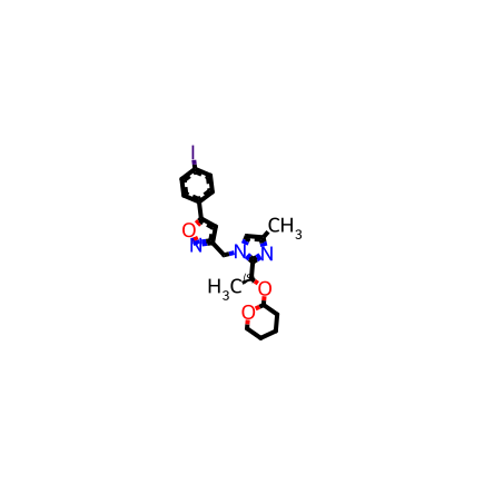 Cc1cn(Cc2cc(-c3ccc(I)cc3)on2)c([C@H](C)OC2CCCCO2)n1